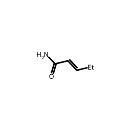 [CH2]CC=CC(N)=O